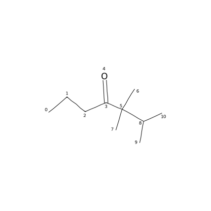 CCCC(=O)C(C)(C)C(C)C